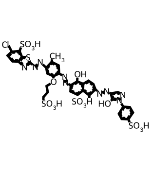 Cc1cc(N=Nc2ccc3c(S(=O)(=O)O)c(N=Nc4cnn(-c5ccc(S(=O)(=O)O)cc5)c4O)ccc3c2O)c(OCCCS(=O)(=O)O)cc1N=Nc1nc2ccc(Cl)c(S(=O)(=O)O)c2s1